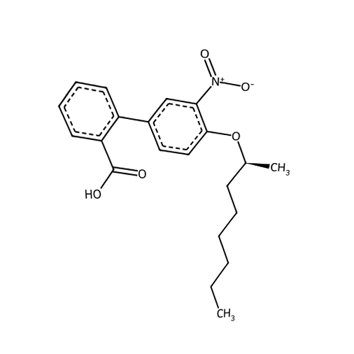 CCCCCC[C@H](C)Oc1ccc(-c2ccccc2C(=O)O)cc1[N+](=O)[O-]